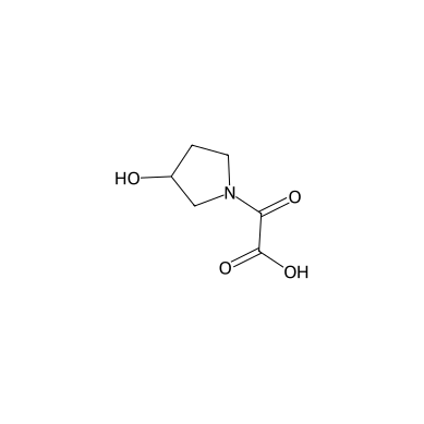 O=C(O)C(=O)N1CCC(O)C1